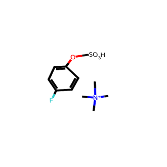 C[N+](C)(C)C.O=S(=O)(O)Oc1ccc(F)cc1